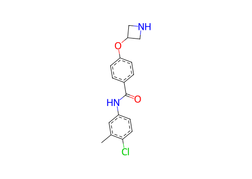 Cc1cc(NC(=O)c2ccc(OC3CNC3)cc2)ccc1Cl